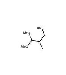 CCCCCC(C)C(OC)OC